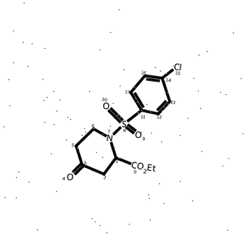 CCOC(=O)C1CC(=O)CCN1S(=O)(=O)c1ccc(Cl)cc1